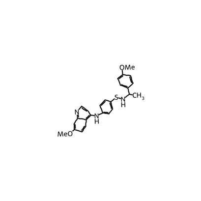 COc1ccc(C(C)NSc2ccc(Nc3ccnc4cc(OC)ccc34)cc2)cc1